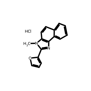 Cl.Cn1c(-c2ccco2)nc2c3ccccc3ccc21